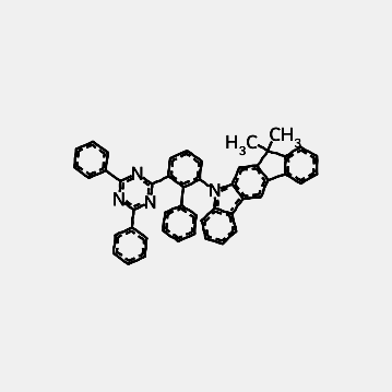 CC1(C)c2ccccc2-c2cc3c4ccccc4n(-c4cccc(-c5nc(-c6ccccc6)nc(-c6ccccc6)n5)c4-c4ccccc4)c3cc21